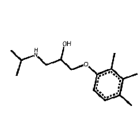 Cc1ccc(OCC(O)CNC(C)C)c(C)c1C